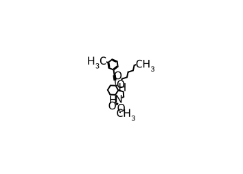 CCCCCC(=O)O[C@@]1(C#Cc2cccc(C)c2)CCC[C@@H]2[C@H]1CCN2C(=O)OC